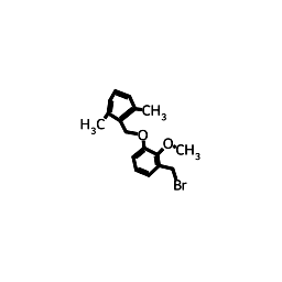 COc1c(CBr)cccc1OCc1c(C)cccc1C